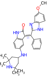 COc1ccc2[nH]c(/C(=C3\C(=O)Nc4ccc(NC5CC(C)(C)NC(C)(C)C5)cc43)c3ccccc3)nc2c1